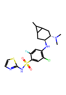 CC1C2C[C@H](Nc3cc(F)c(S(=O)(=O)Nc4nccs4)cc3Cl)[C@@H](N(C)C)CC12